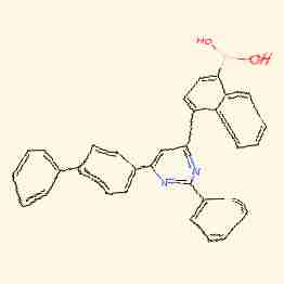 OB(O)c1ccc(-c2cc(-c3ccc(-c4ccccc4)cc3)nc(-c3ccccc3)n2)c2ccccc12